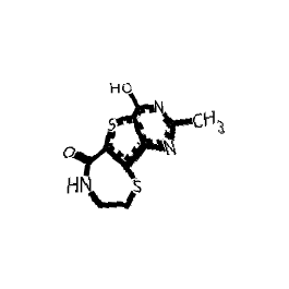 Cc1nc(O)c2sc3c(c2n1)SCCNC3=O